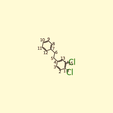 Clc1ccc(CCc2ccccc2)cc1Cl